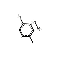 CCCCN.Cc1ccc(O)cc1